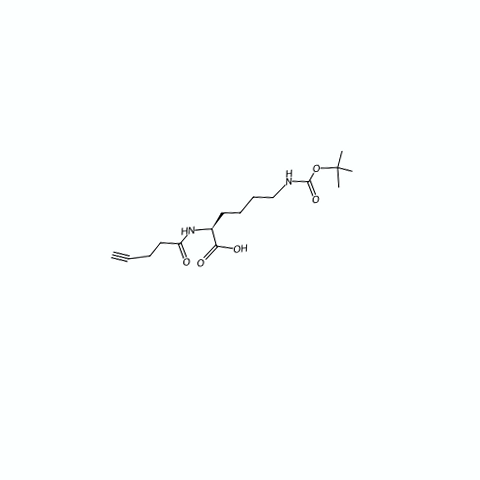 C#CCCC(=O)N[C@@H](CCCCNC(=O)OC(C)(C)C)C(=O)O